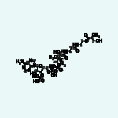 CC(CO)C(=O)SCCNC(=O)CCNC(=O)C(O)C(C)(C)COP(=O)(O)OP(=O)(O)OCC1OC(n2cnc3c(N)ncnc32)C(O)C1OP(=O)(O)O